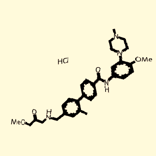 COCC(=O)CNCc1ccc(-c2ccc(C(=O)Nc3ccc(OC)c(N4CCN(C)CC4)c3)cc2)c(C)c1.Cl